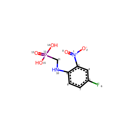 O=[N+]([O-])c1cc(F)ccc1NCP(=O)(O)O